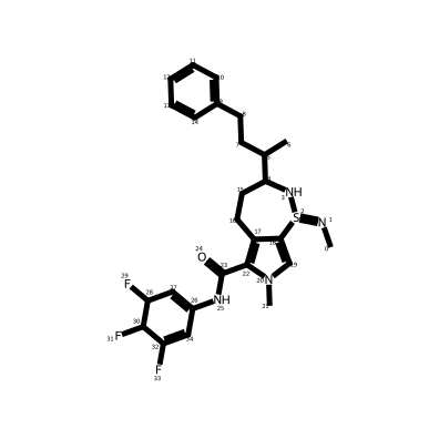 C/N=S1/NC(C(C)CCc2ccccc2)CCc2c1cn(C)c2C(=O)NC1=CC(F)C(F)C(F)=C1